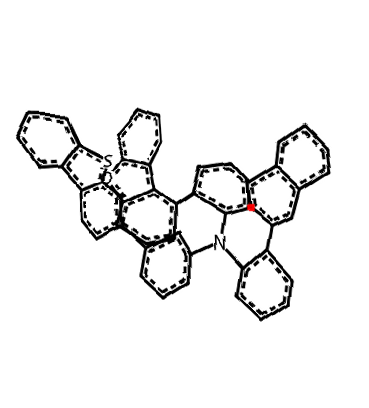 c1cc(-c2ccc3c(c2)sc2ccccc23)cc(N(c2ccccc2-c2ccc3ccccc3c2)c2ccccc2-c2cccc3oc4ccccc4c23)c1